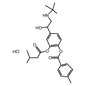 Cc1ccc(C(=O)Oc2ccc(C(O)CNC(C)(C)C)cc2OC(=O)CC(C)C)cc1.Cl